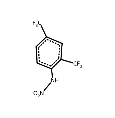 O=[N+]([O-])Nc1ccc(C(F)(F)F)cc1C(F)(F)F